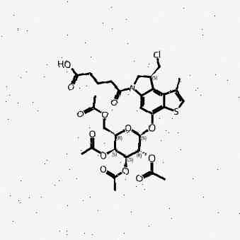 CC(=O)OC[C@H]1O[C@@H](Oc2cc3c(c4c(C)csc24)[C@H](CCl)CN3C(=O)CCCC(=O)O)[C@H](OC(C)=O)[C@@H](OC(C)=O)[C@H]1OC(C)=O